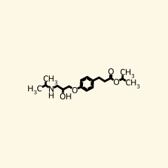 CC(C)NCC(O)COc1ccc(CCC(=O)OC(C)C)cc1